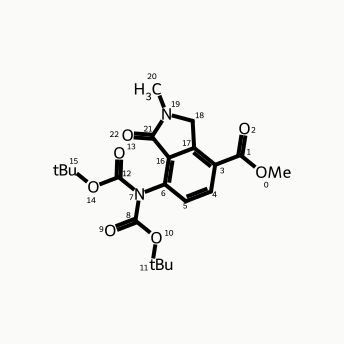 COC(=O)c1ccc(N(C(=O)OC(C)(C)C)C(=O)OC(C)(C)C)c2c1CN(C)C2=O